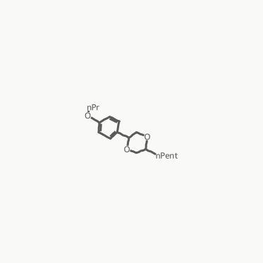 CCCCCC1COC(c2ccc(OCCC)cc2)CO1